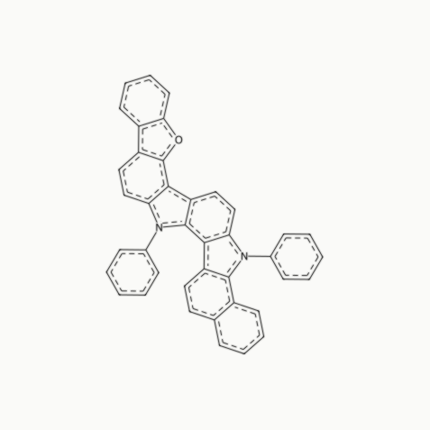 c1ccc(-n2c3ccc4c5c6oc7ccccc7c6ccc5n(-c5ccccc5)c4c3c3ccc4ccccc4c32)cc1